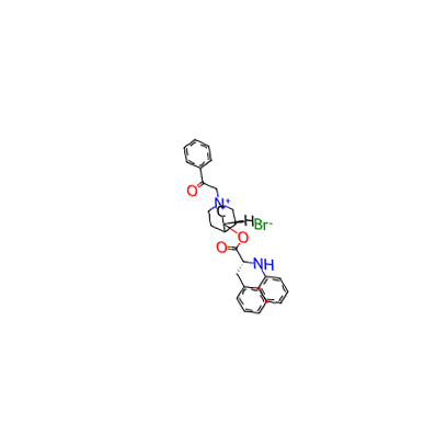 O=C(C[N+]12CCC(CC1)[C@@H](OC(=O)[C@@H](Cc1ccccc1)Nc1ccccc1)C2)c1ccccc1.[Br-]